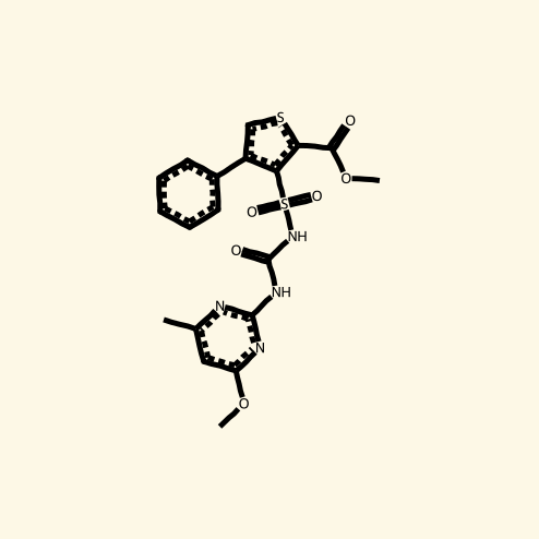 COC(=O)c1scc(-c2ccccc2)c1S(=O)(=O)NC(=O)Nc1nc(C)cc(OC)n1